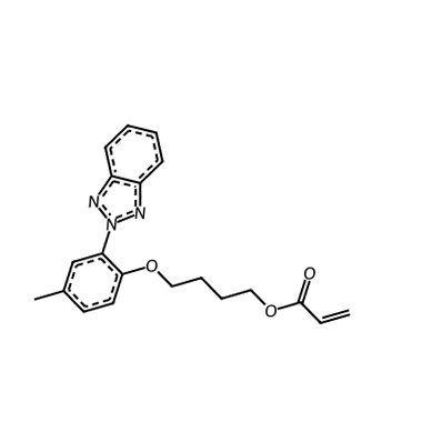 C=CC(=O)OCCCCOc1ccc(C)cc1-n1nc2ccccc2n1